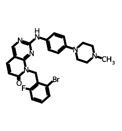 CN1CCN(c2ccc(Nc3ncc4ccc(=O)n(Cc5c(F)cccc5Br)c4n3)cc2)CC1